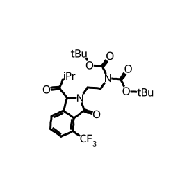 CC(C)C(=O)C1c2cccc(C(F)(F)F)c2C(=O)N1CCN(C(=O)OC(C)(C)C)C(=O)OC(C)(C)C